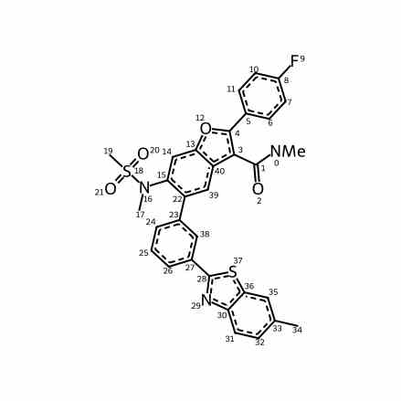 CNC(=O)c1c(-c2ccc(F)cc2)oc2cc(N(C)S(C)(=O)=O)c(-c3cccc(-c4nc5ccc(C)cc5s4)c3)cc12